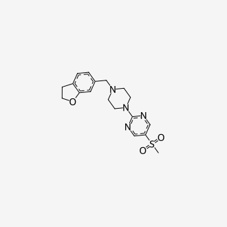 CS(=O)(=O)c1cnc(N2CCN(Cc3ccc4c(c3)OCC4)CC2)nc1